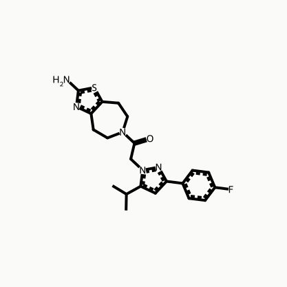 CC(C)c1cc(-c2ccc(F)cc2)nn1CC(=O)N1CCc2nc(N)sc2CC1